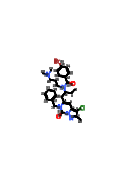 CCC(Cc1cc2c(Cl)c(C)nn2c(=O)n1Cc1ccccc1)N(CCCN(C)C)C(=O)c1ccc(Br)cc1